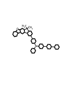 CC1(C)c2ccc(-c3ccc(N(c4ccccc4)c4ccc(-c5ccc(-c6ccccc6)cc5)cc4)cc3)cc2-c2cc3c(cc21)oc1ccccc13